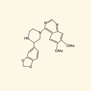 COc1cc2ncnc(N3CCNC(c4ccc5c(c4)OCO5)C3)c2cc1OC